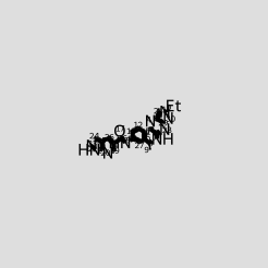 CCn1cc2ncc(N[C@@H](C)c3cccc(NC(=O)c4cnc5[nH]ncc5c4)c3)nc2n1